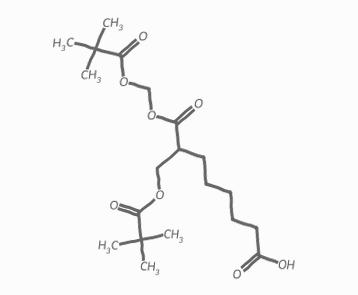 CC(C)(C)C(=O)OCOC(=O)C(CCCCCC(=O)O)COC(=O)C(C)(C)C